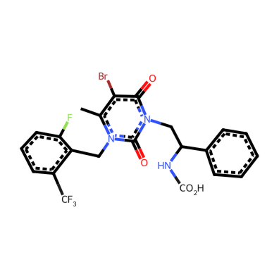 Cc1c(Br)c(=O)n(CC(NC(=O)O)c2ccccc2)c(=O)n1Cc1c(F)cccc1C(F)(F)F